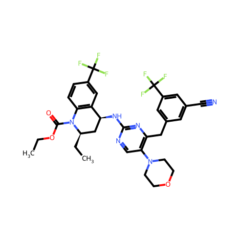 CCOC(=O)N1c2ccc(C(F)(F)F)cc2[C@@H](Nc2ncc(N3CCOCC3)c(Cc3cc(C#N)cc(C(F)(F)F)c3)n2)C[C@H]1CC